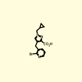 O=C(O)c1nn(CC2CC2)cc1Cc1cccnc1Br